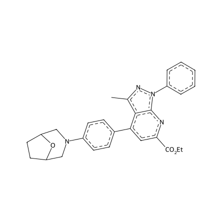 CCOC(=O)c1cc(-c2ccc(N3CC4CCC(C3)O4)cc2)c2c(C)nn(-c3ccccc3)c2n1